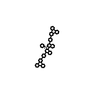 c1ccc(-n2c3cc(-c4ccc(-c5ccc6c7ccccc7c7ccccc7c6c5)cc4)c4ccccc4c3c3c4ccccc4c(-c4ccc(-c5ccc6c7ccccc7c7ccccc7c6c5)cc4)cc32)cc1